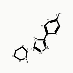 Clc1ccc(-c2nnc([C@H]3CCCCO3)o2)cc1